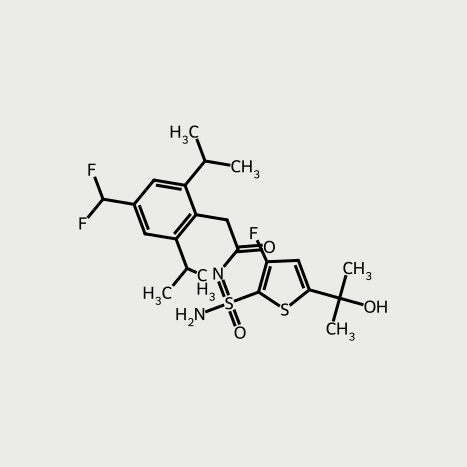 CC(C)c1cc(C(F)F)cc(C(C)C)c1CC(=O)N=S(N)(=O)c1sc(C(C)(C)O)cc1F